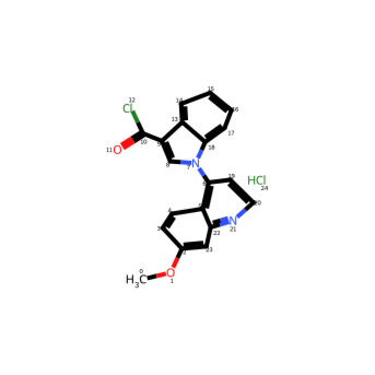 COc1ccc2c(-n3cc(C(=O)Cl)c4ccccc43)ccnc2c1.Cl